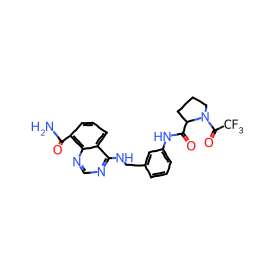 NC(=O)c1cccc2c(NCc3cccc(NC(=O)C4CCCN4C(=O)C(F)(F)F)c3)ncnc12